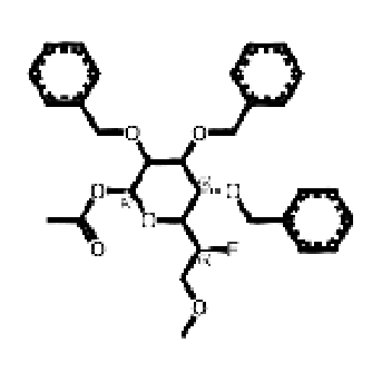 COC[C@H](F)C1O[C@@H](OC(C)=O)C(OCc2ccccc2)C(OCc2ccccc2)[C@@H]1OCc1ccccc1